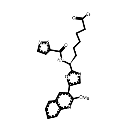 CCC(=O)CCCCC[C@H](NC(=O)c1ccns1)c1ncc(-c2cc3ccccc3nc2OC)o1